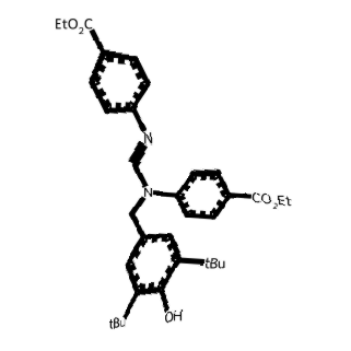 CCOC(=O)c1ccc(N=CN(Cc2cc(C(C)(C)C)c(O)c(C(C)(C)C)c2)c2ccc(C(=O)OCC)cc2)cc1